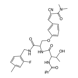 Cc1ccc(CNC(=O)C(COc2cccc(C=C(C#N)C(=O)N(C)C)c2)NC(=O)C(NC(=O)C(C)C)C(C)O)c(F)c1